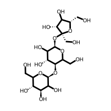 OCC1O[C@@H](O[C@@H]2C(CO)O[C@H](O[C@]3(CO)O[C@@H](CO)C(O)[C@H]3O)C(O)[C@H]2O)C(O)[C@@H](O)[C@@H]1O